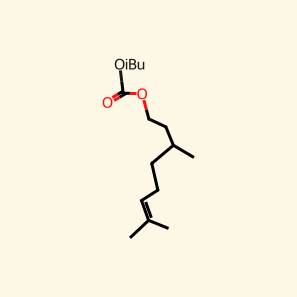 CC(C)=CCCC(C)CCOC(=O)OCC(C)C